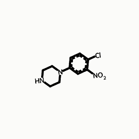 O=[N+]([O-])c1cc(N2CCNCC2)ccc1Cl